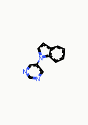 c1ccc2c(c1)ccn2-c1cncnc1